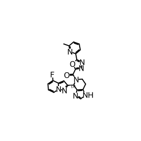 Cc1cccc(-c2nnc(C(=O)N3CCc4[nH]cnc4[C@H]3c3cc4c(F)cccn4n3)o2)n1